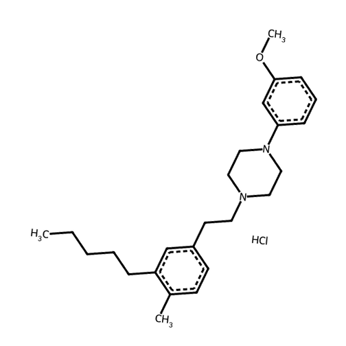 CCCCCc1cc(CCN2CCN(c3cccc(OC)c3)CC2)ccc1C.Cl